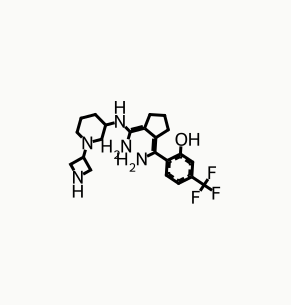 N/C(=C1/CCC/C1=C(/N)NC1CCCN(C2CNC2)C1)c1ccc(C(F)(F)F)cc1O